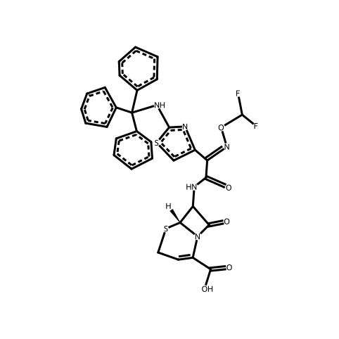 O=C(O)C1=CCS[C@@H]2C(NC(=O)/C(=N/OC(F)F)c3csc(NC(c4ccccc4)(c4ccccc4)c4ccccc4)n3)C(=O)N12